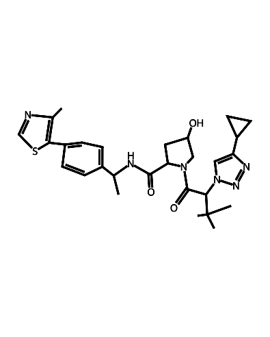 Cc1ncsc1-c1ccc(C(C)NC(=O)C2CC(O)CN2C(=O)C(n2cc(C3CC3)nn2)C(C)(C)C)cc1